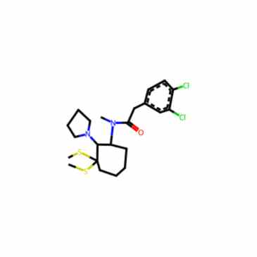 CSC1(SC)CCCCC(N(C)C(=O)Cc2ccc(Cl)c(Cl)c2)C1N1CCCC1